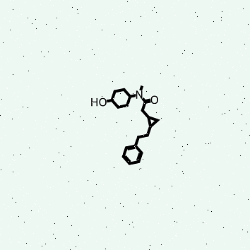 CN(C(=O)CC1CC1CCc1ccccc1)C1CCC(O)CC1